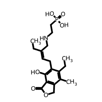 CCC(=CCc1c(O)c2c(c(C)c1CC)COC2=O)CNCCP(=O)(O)O